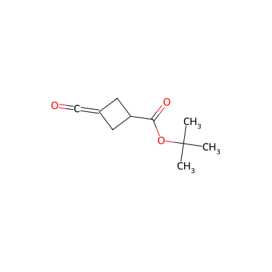 CC(C)(C)OC(=O)C1CC(=C=O)C1